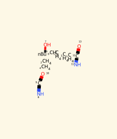 C.C.C.C.C.C.CCCCO.N=C=O.N=C=O